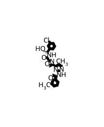 Cc1cnc(Nc2coc3c(C)cccc23)nc1-c1coc(C(=O)N[C@H](CO)c2cccc(Cl)c2)n1